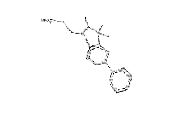 CC1N(CCC(=O)O)c2ccc(-c3ccccc3)cc2C1(C)C